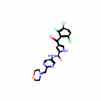 O=C(Nc1cnc(CN2CCOCC2)nc1)c1cc(C(=O)c2c(Cl)ccc(Cl)c2F)c[nH]1